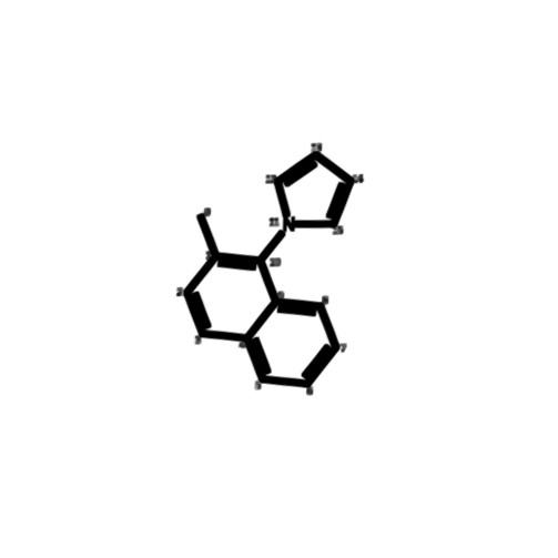 Cc1ccc2ccccc2c1-n1cccc1